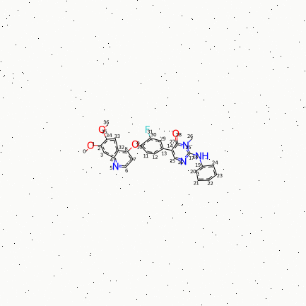 COc1cc2nccc(Oc3ccc(-c4cnc(Nc5ccccc5)n(C)c4=O)cc3F)c2cc1OC